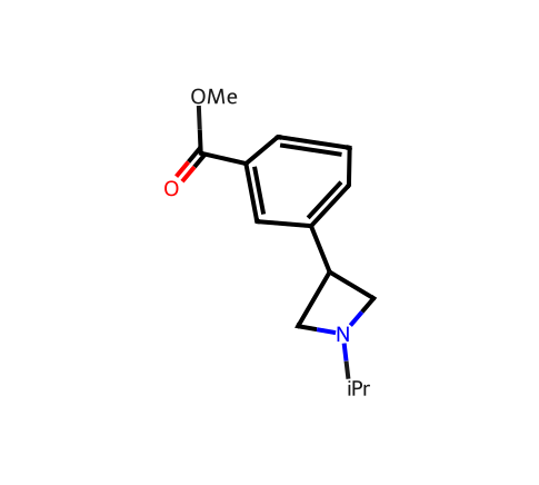 COC(=O)c1cccc(C2CN(C(C)C)C2)c1